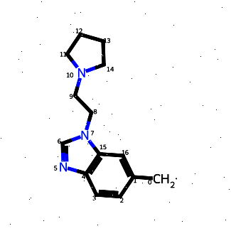 [CH2]c1ccc2ncn(CCN3CCCC3)c2c1